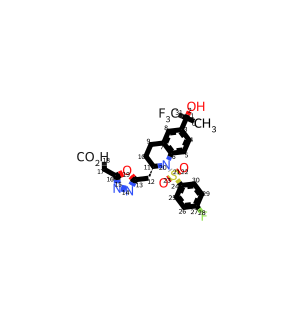 CC(O)(c1ccc2c(c1)CC[C@@H](Cc1nnc(CC(=O)O)o1)N2S(=O)(=O)c1ccc(F)cc1)C(F)(F)F